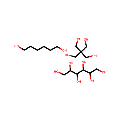 OCC(CO)(CO)CO.OCC(O)C(O)C(O)C(O)CO.OCCCCCCO